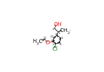 [CH2]C(CO)c1ccc(Cl)c(OCC)c1